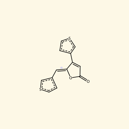 O=C1C=C(c2ccsc2)/C(=C/c2ccsc2)O1